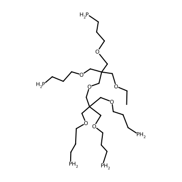 CCOCC(COCCCP)(COCCCP)COCC(COCCCP)(COCCCP)COCCCP